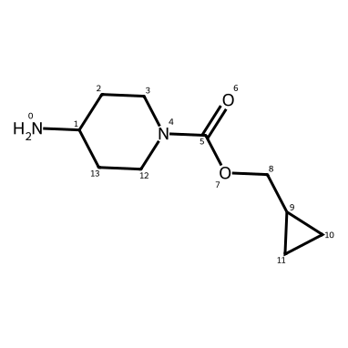 NC1CCN(C(=O)OCC2CC2)CC1